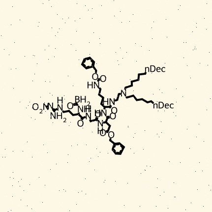 BC(=O)NC(CCCN/C(N)=N/[N+](=O)[O-])C(=O)NCC(=O)NC(CC(=O)OCc1ccccc1)C(=O)NC(CCCCNC(=O)OCc1ccccc1)C(=O)NCCN(CCCCCCCCCCCCCCCC)CCCCCCCCCCCCCCCC